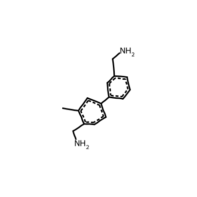 Cc1cc(-c2cccc(CN)c2)ccc1CN